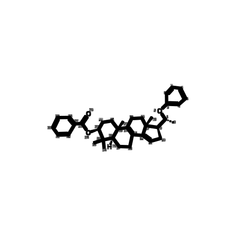 C[C@@H](Oc1ccccc1)[C@H]1CC=C2C3=C(CC[C@@]21C)[C@@]1(C)CC[C@H](OC(=O)c2ccccc2)C(C)(C)[C@@H]1CC3